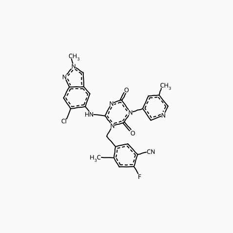 Cc1cncc(-n2c(=O)nc(Nc3cc4cn(C)nc4cc3Cl)n(Cc3cc(C#N)c(F)cc3C)c2=O)c1